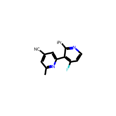 Cc1cc(C#N)cc(-c2c(F)ccnc2C(C)C)n1